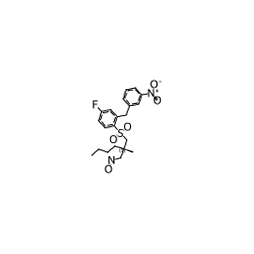 CCCC[C@@](C)(CN=O)CS(=O)(=O)c1ccc(F)cc1Cc1cccc([N+](=O)[O-])c1